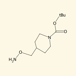 CC(C)(C)OC(=O)N1CCC(CON)CC1